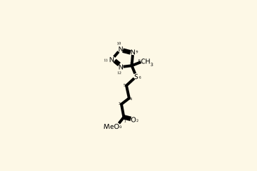 COC(=O)CCCSC1(C)N=NN=N1